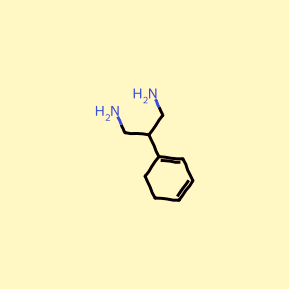 NCC(CN)C1=CC=CCC1